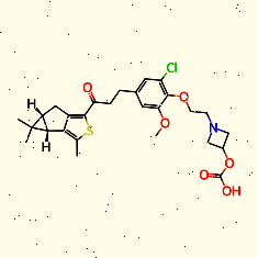 COc1cc(CCC(=O)c2sc(C)c3c2C[C@@H]2[C@H]3C2(C)C)cc(Cl)c1OCCN1CC(OC(=O)O)C1